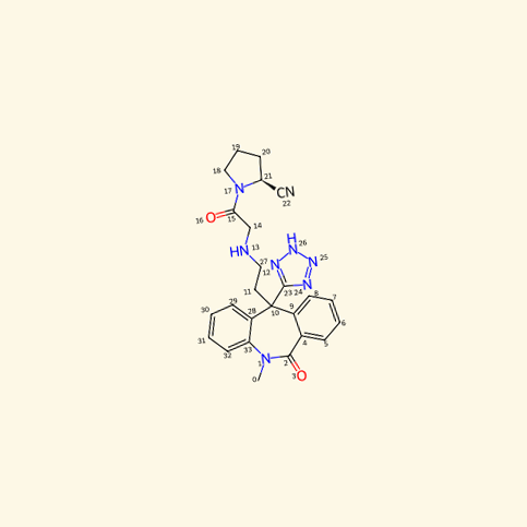 CN1C(=O)c2ccccc2C(CCNCC(=O)N2CCC[C@H]2C#N)(c2nn[nH]n2)c2ccccc21